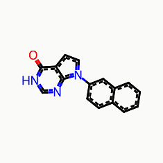 O=c1[nH]cnc2c1ccn2-c1ccc2ccccc2c1